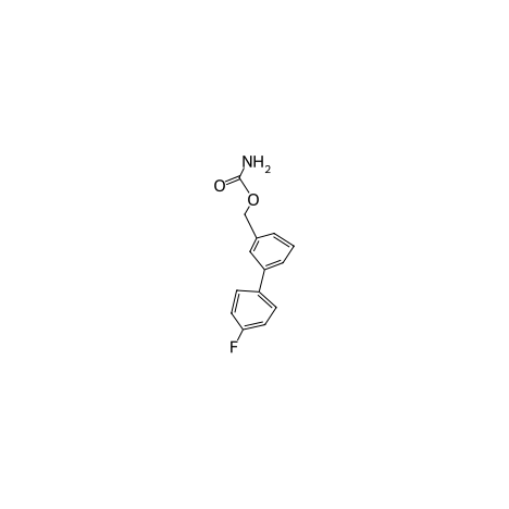 NC(=O)OCc1cccc(-c2ccc(F)cc2)c1